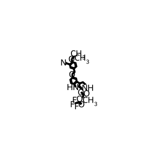 CC(C)Oc1ccc(COc2ccc3c(c2)C2CCNC(OC(=O)C(C)OC(=O)C(F)(F)F)=C2N3)cc1C#N